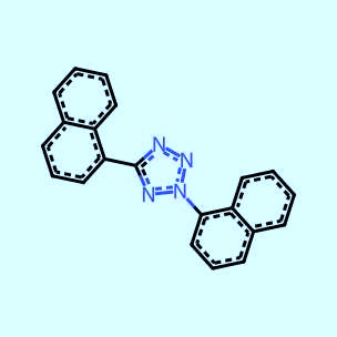 c1ccc2c(-c3nnn(-c4cccc5ccccc45)n3)cccc2c1